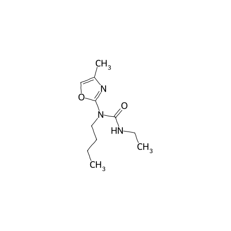 CCCCN(C(=O)NCC)c1nc(C)co1